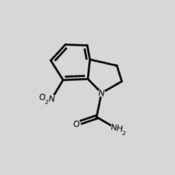 NC(=O)N1CCc2cccc([N+](=O)[O-])c21